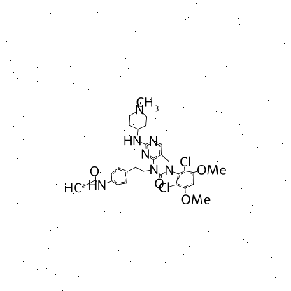 C#CC(=O)Nc1ccc(CCN2C(=O)N(c3c(Cl)c(OC)cc(OC)c3Cl)Cc3cnc(NC4CCN(C)CC4)nc32)cc1